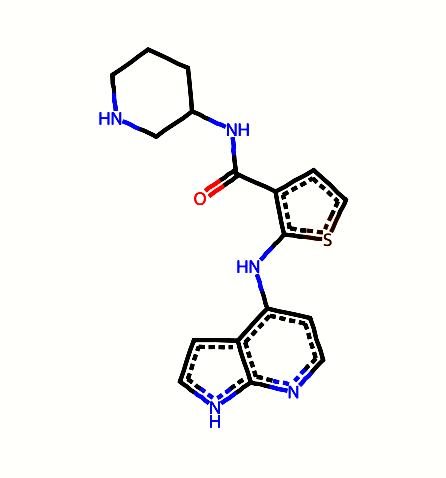 O=C(NC1CCCNC1)c1ccsc1Nc1ccnc2[nH]ccc12